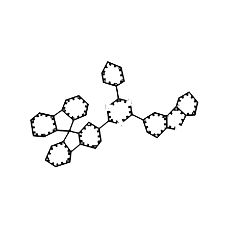 c1ccc(-c2nc(-c3ccc4c(c3)C3(c5ccccc5-c5ccccc53)c3ccccc3-4)nc(-c3ccc4oc5ccccc5c4c3)n2)cc1